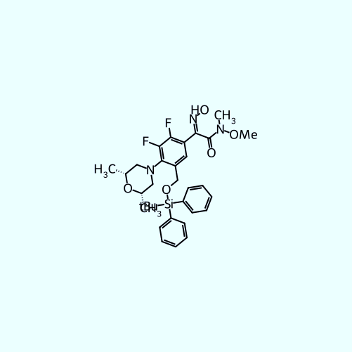 CON(C)C(=O)/C(=N\O)c1cc(CO[Si](c2ccccc2)(c2ccccc2)C(C)(C)C)c(N2C[C@@H](C)O[C@@H](C)C2)c(F)c1F